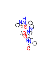 COCCC(C1CCCCC1)n1ncc(-c2ccc(N3CCc4cccc(C(=O)Nc5nc6ccccc6s5)c4C3)nc2C(=O)OC(C)(C)C)c1C